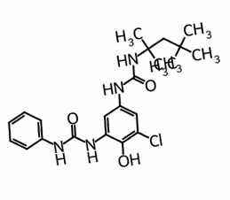 CC(C)(C)CC(C)(C)NC(=O)Nc1cc(Cl)c(O)c(NC(=O)Nc2ccccc2)c1